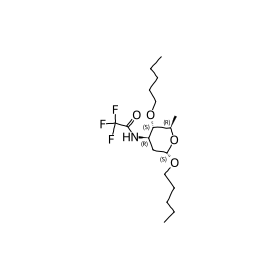 CCCCCO[C@@H]1C[C@@H](NC(=O)C(F)(F)F)[C@H](OCCCCC)[C@@H](C)O1